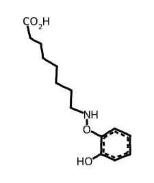 O=C(O)CCCCCCCNOc1ccccc1O